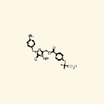 CCCn1c(COC(=O)c2ccc(SC(C)(C)C(=O)O)cc2)nn(Cc2ccc(C(C)(C)C)cc2)c1=O